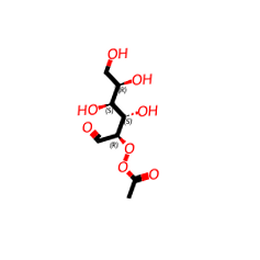 CC(=O)OO[C@@H](C=O)[C@@H](O)[C@@H](O)[C@H](O)CO